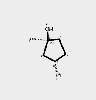 CC(C)[C@H]1CC[C@](C)(O)C1